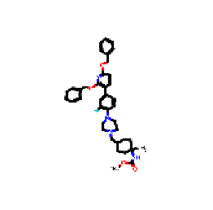 CC1(NC(=O)OC(C)(C)C)CCC(CN2CCN(c3ccc(-c4ccc(OCc5ccccc5)nc4OCc4ccccc4)cc3F)CC2)CC1